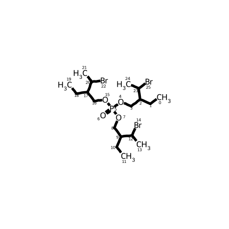 CCC(COP(=O)(OCC(CC)C(C)Br)OCC(CC)C(C)Br)C(C)Br